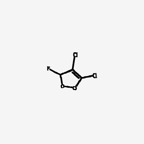 FC1OOC(Cl)=C1Cl